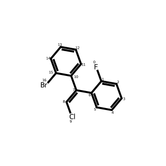 Fc1ccccc1/C(=C\Cl)c1ccccc1Br